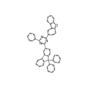 c1ccc(-c2nc(-c3ccc4c(c3)-c3ccccc3C4(c3ccccc3)c3ccccc3)nc(-c3ccc4oc5ccccc5c4c3)n2)cc1